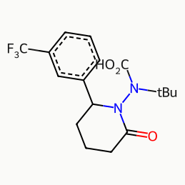 CC(C)(C)N(C(=O)O)N1C(=O)CCCC1c1cccc(C(F)(F)F)c1